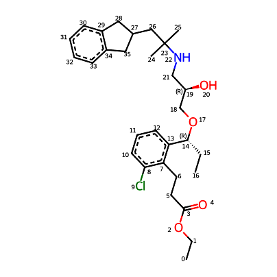 CCOC(=O)CCc1c(Cl)cccc1[C@@H](CC)OC[C@H](O)CNC(C)(C)CC1Cc2ccccc2C1